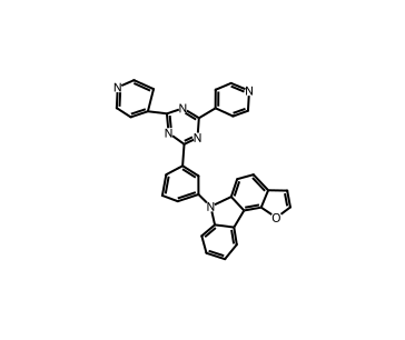 c1cc(-c2nc(-c3ccncc3)nc(-c3ccncc3)n2)cc(-n2c3ccccc3c3c4occc4ccc32)c1